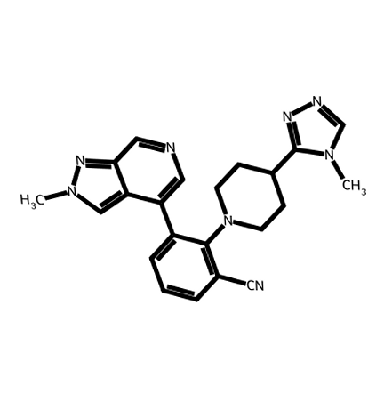 Cn1cc2c(-c3cccc(C#N)c3N3CCC(c4nncn4C)CC3)cncc2n1